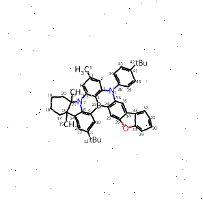 Cc1cc2c3c(c1)N1c4c(cc(C(C)(C)C)cc4C4(C)CCCCC14C)B3c1cc3oc4ccccc4c3cc1N2c1ccc(C(C)(C)C)cc1